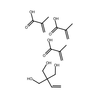 C=C(C)C(=O)O.C=C(C)C(=O)O.C=C(C)C(=O)O.C=CC(CO)(CO)CO